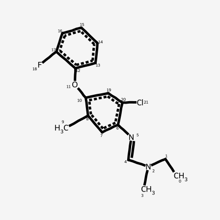 CCN(C)C=Nc1cc(C)c(Oc2ccccc2F)cc1Cl